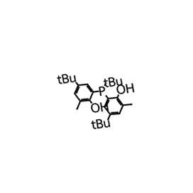 Cc1cc(C(C)(C)C)cc(P(c2cc(C(C)(C)C)cc(C)c2O)C(C)(C)C)c1O